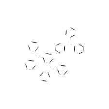 c1ccc(N(c2ccccc2)c2ccc3c(c2)sc2c4c5c(cc23)N(c2ccccc2)c2ccccc2B5c2ccccc2N4c2ccccc2)cc1